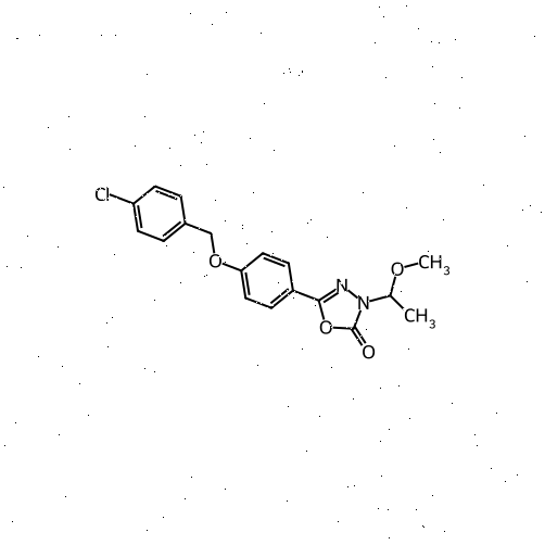 COC(C)n1nc(-c2ccc(OCc3ccc(Cl)cc3)cc2)oc1=O